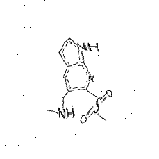 CNc1cc2cc[nH]c2nc1S(C)(=O)=O